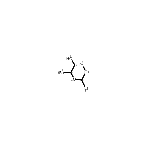 CCC(OC(C)C)OC(CO)C(C)(C)C